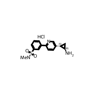 CNS(=O)(=O)c1cccc(-c2ccc([C@@H]3C[C@H]3N)cn2)c1.Cl